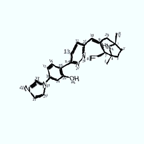 C[C@@]12CC[C@@](C)(N1)[C@@H](F)/C(=C\c1ccc(-c3ccc(-n4ccnc4)cc3O)nn1)C2